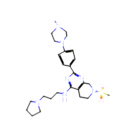 CN1CCN(c2ccc(-c3nc4c(c(NCCCN5CCCC5)n3)CCN(S(C)(=O)=O)C4)cc2)CC1